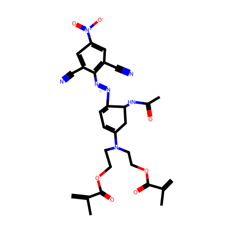 C=C(C)C(=O)OCCN(CCOC(=O)C(=C)C)C1=CC=C(/N=N/c2c(C#N)cc([N+](=O)[O-])cc2C#N)C(NC(C)=O)C1